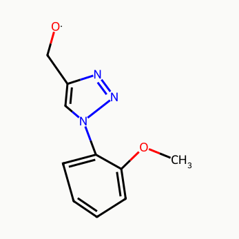 COc1ccccc1-n1cc(C[O])nn1